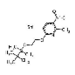 Cc1nc(OCCO[Si](C)(C)C(C)(C)C)ccc1[N+](=O)[O-].[Sn]